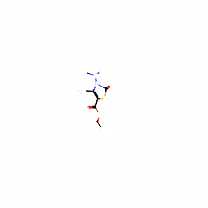 CCOC(=O)c1sc(=O)n(N(C)C)c1C